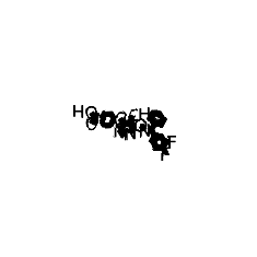 Cc1c(O/N=C(\c2ccccc2)c2ccc(F)c(F)c2)ncnc1OC1CCN(C(=O)O)CC1